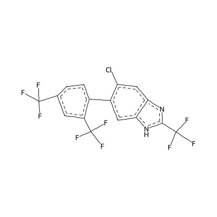 FC(F)(F)c1ccc(-c2cc3[nH]c(C(F)(F)F)nc3cc2Cl)c(C(F)(F)F)c1